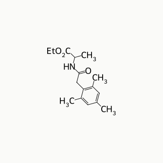 CCOC(=O)C(C)NC(=O)Cc1c(C)cc(C)cc1C